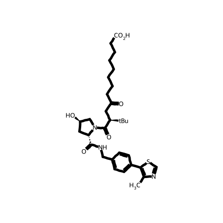 Cc1ncsc1-c1ccc(CNC(=O)[C@@H]2C[C@@H](O)CN2C(=O)[C@@H](CC(=O)CCCCCCCC(=O)O)C(C)(C)C)cc1